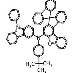 CC(C)(C)c1ccc(N(c2ccc3c(c2)c2ccccc2n3-c2ccccc2)c2cc3c(c4c2oc2ccccc24)-c2ccccc2C32c3ccccc3-c3ccccc32)cc1